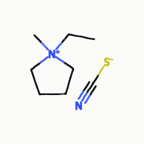 CC[N+]1(C)CCCC1.N#C[S-]